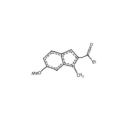 CCC(=O)c1cc2ccc(OC)cc2n1C